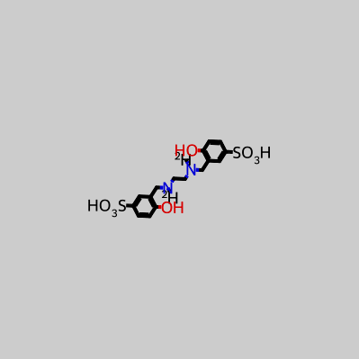 [2H]N(CCN([2H])Cc1cc(S(=O)(=O)O)ccc1O)Cc1cc(S(=O)(=O)O)ccc1O